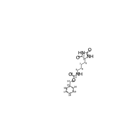 O=C1NC(=O)C(CCCCNC(=O)OCc2ccccc2)N1